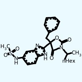 CCCCCCC(C)N1C(=O)OC(Cc2ccccc2)(c2nc3cc(NS(C)(=O)=O)ccc3[nH]2)C1=O